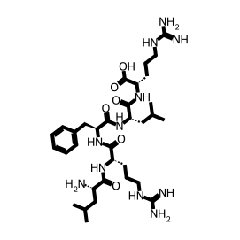 CC(C)C[C@H](NC(=O)[C@H](Cc1ccccc1)NC(=O)[C@H](CCCNC(=N)N)NC(=O)[C@@H](N)CC(C)C)C(=O)N[C@@H](CCCNC(=N)N)C(=O)O